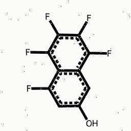 Oc1cc(F)c2c(F)c(F)c(F)c(F)c2c1